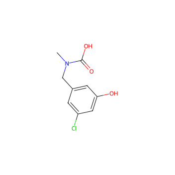 CN(Cc1cc(O)cc(Cl)c1)C(=O)O